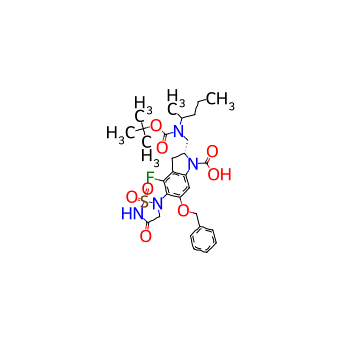 CCCC(C)N(C[C@H]1Cc2c(cc(OCc3ccccc3)c(N3CC(=O)NS3(=O)=O)c2F)N1C(=O)O)C(=O)OC(C)(C)C